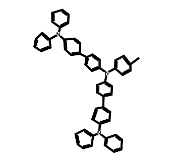 Cc1ccc(N(c2ccc(-c3ccc(N(c4ccccc4)c4ccccc4)cc3)cc2)c2ccc(-c3ccc(N(c4ccccc4)c4ccccc4)cc3)cc2)cc1